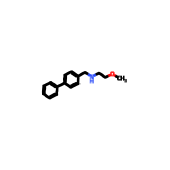 COCCNCc1[c]cc(-c2ccccc2)cc1